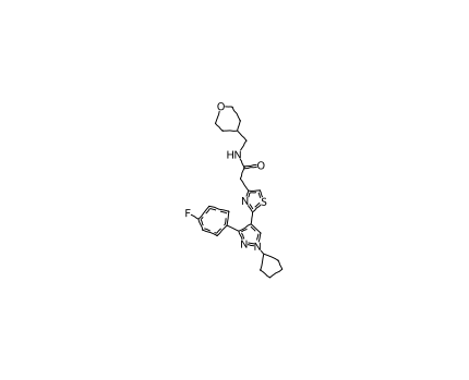 O=C(Cc1csc(-c2cn(C3CCCC3)nc2-c2ccc(F)cc2)n1)NCC1CCOCC1